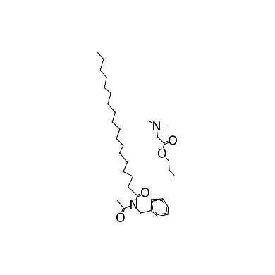 CCCCCCCCCCCCCCCCCC(=O)N(Cc1ccccc1)C(C)=O.CCCOC(=O)CN(C)C